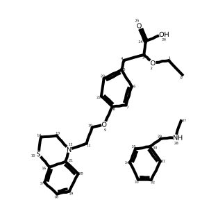 CCOC(Cc1ccc(OCCN2CCSc3ccccc32)cc1)C(=O)O.CNCc1ccccc1